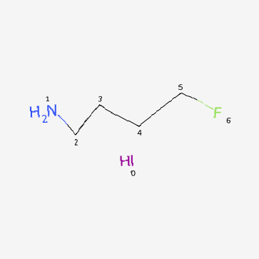 I.NCCCCF